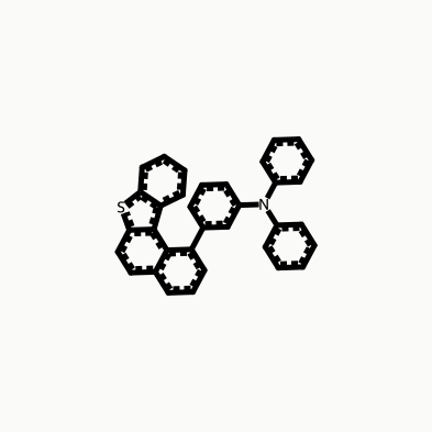 c1ccc(N(c2ccccc2)c2cccc(-c3cccc4ccc5sc6ccccc6c5c34)c2)cc1